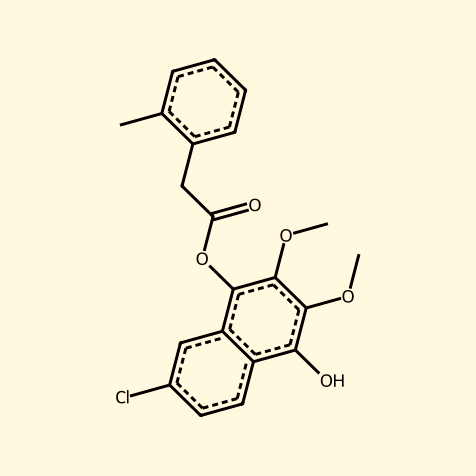 COc1c(OC)c(OC(=O)Cc2ccccc2C)c2cc(Cl)ccc2c1O